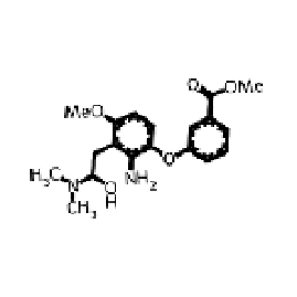 COC(=O)c1cccc(Oc2ccc(OC)c(CC(O)N(C)C)c2N)c1